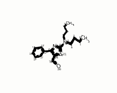 CCCCN(CCCC)c1nc(-c2ccccc2)c(C=O)s1